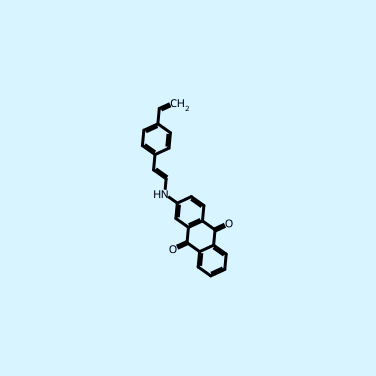 C=Cc1ccc(/C=C/Nc2ccc3c(c2)C(=O)c2ccccc2C3=O)cc1